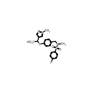 CN(Cc1ccc(OC(C(=O)O)c2cnn(C)c2)cc1)S(=O)(=O)c1ccc(F)cc1